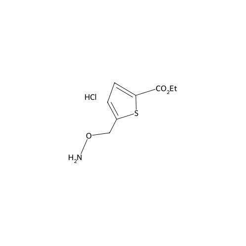 CCOC(=O)c1ccc(CON)s1.Cl